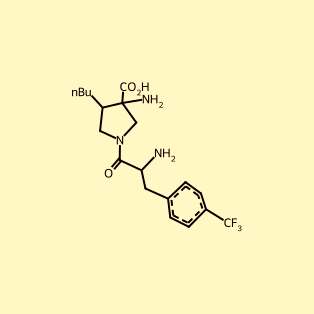 CCCCC1CN(C(=O)C(N)Cc2ccc(C(F)(F)F)cc2)CC1(N)C(=O)O